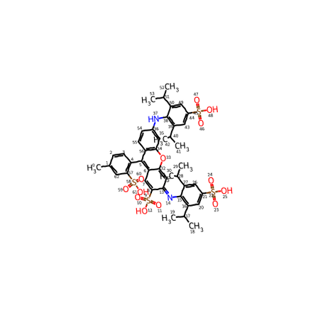 Cc1ccc(-c2c3cc(S(=O)(=O)O)/c(=N/c4c(C(C)C)cc(S(=O)(=O)O)cc4C(C)C)cc-3oc3cc(Nc4c(C(C)C)cc(S(=O)(=O)O)cc4C(C)C)ccc23)c(S(=O)(=O)O)c1